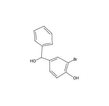 Oc1ccc(C(O)c2ccccc2)cc1Br